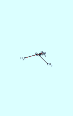 CCCCCCCCCCCCCCCCCC(=O)OCC(CSCC(N)C(=O)O)OC(=O)CCCCCCCCCCCCCCCCC